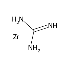 N=C(N)N.[Zr]